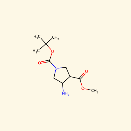 COC(=O)C1CN(C(=O)OC(C)(C)C)CC1N